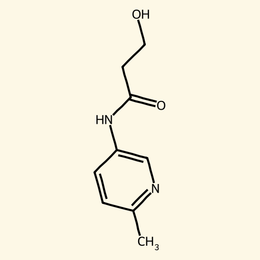 Cc1ccc(NC(=O)CCO)cn1